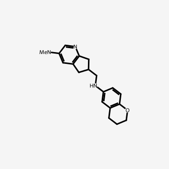 CNc1cnc2c(c1)CC(CNc1ccc3c(c1)CCCO3)C2